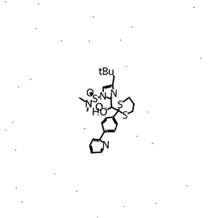 CN(C)S(=O)(=O)n1cc(CC(C)(C)C)nc1C(O)C1(c2ccc(-c3ccccn3)cc2)SCCCS1